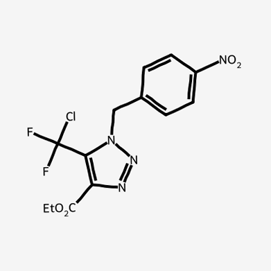 CCOC(=O)c1nnn(Cc2ccc([N+](=O)[O-])cc2)c1C(F)(F)Cl